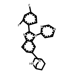 Fc1ccc(-c2nc3ccc(N4CC5CCC4CN5)cc3n2-c2ccncn2)c(F)c1